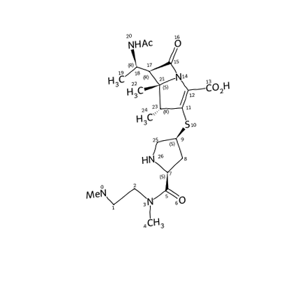 CNCCN(C)C(=O)[C@@H]1C[C@H](SC2=C(C(=O)O)N3C(=O)[C@H]([C@@H](C)NC(C)=O)[C@@]3(C)[C@H]2C)CN1